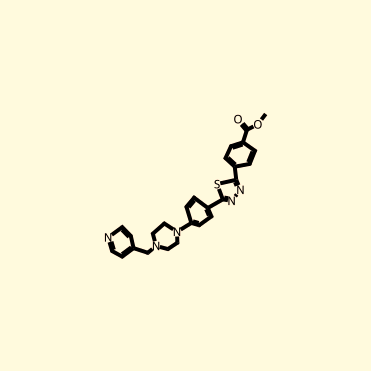 COC(=O)c1ccc(-c2nnc(-c3ccc(N4CCN(Cc5ccncc5)CC4)cc3)s2)cc1